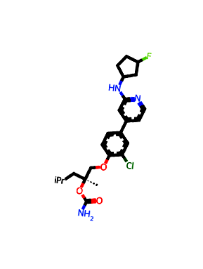 CC(C)C[C@@](C)(COc1ccc(-c2ccnc(NC3CCC(F)C3)c2)cc1Cl)OC(N)=O